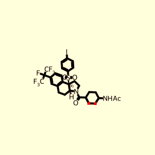 CC(=O)NC12CCC(C(=O)N3CC[C@@]4(S(=O)(=O)c5ccc(I)cc5)c5ccc(C(F)(C(F)(F)F)C(F)(F)F)cc5CC[C@@H]34)(CC1)CC2